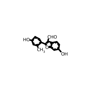 Cc1cc(O)ccc1-c1oc2cc(O)ccc2c1C=O